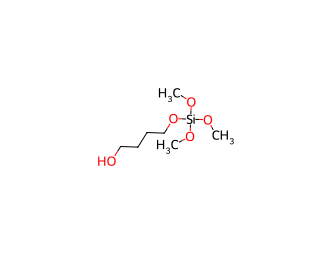 CO[Si](OC)(OC)OCCCCO